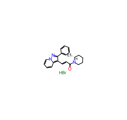 Br.CC[C@@H]1CCCCN1C(=O)C=Cc1c(-c2ccccc2)nn2ccccc12